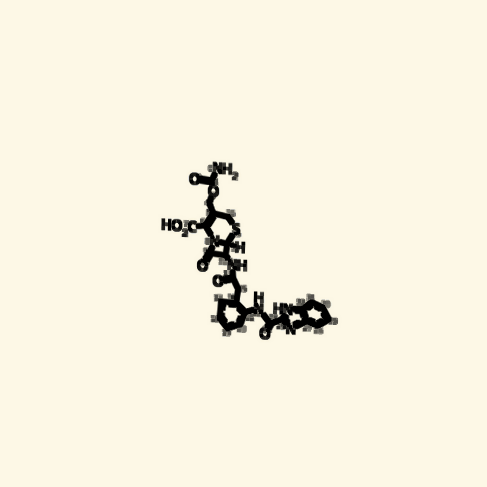 NC(=O)OCC1=C(C(=O)O)N2C(=O)C(NC(=O)Cc3ccccc3NC(=O)c3nc4ccccc4[nH]3)[C@H]2SC1